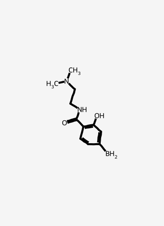 Bc1ccc(C(=O)NCCN(C)C)c(O)c1